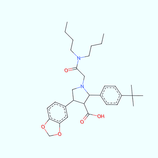 CCCCN(CCCC)C(=O)CN1CC(c2ccc3c(c2)OCO3)C(C(=O)O)C1c1ccc(C(C)(C)C)cc1